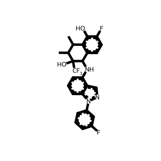 CC1c2c(ccc(F)c2O)C(Nc2cccc3c2cnn3-c2cccc(F)c2)C(O)(C(F)(F)F)C1C